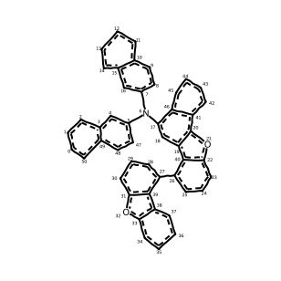 c1ccc2cc(N(c3ccc4ccccc4c3)c3cc4c(oc5cccc(-c6cccc7oc8ccccc8c67)c54)c4ccccc34)ccc2c1